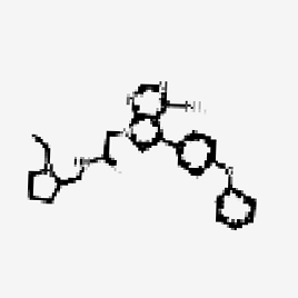 CCN1CCCC1CNC(=O)Cn1cc(-c2ccc(Oc3ccccc3)cc2)c2c(N)ncnc21